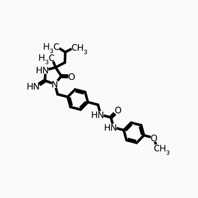 COc1ccc(NC(=O)NCc2ccc(CN3C(=N)NC(C)(CC(C)C)C3=O)cc2)cc1